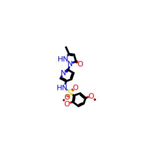 COc1ccc(OC)c(S(=O)(=O)Nc2ccc(-n3[nH]c(C)cc3=O)nc2)c1